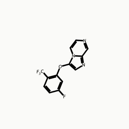 Fc1ccc(C(F)(F)F)c(Oc2cnc3cnccn23)c1